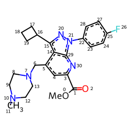 COC(=O)c1cc(CN2CCN(C)CC2)c2c(C3CCC3)nn(-c3ccc(F)cc3)c2n1